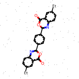 CCc1ccc2nc(-c3ccc(-c4nc5ccc(CC)cc5c(=O)o4)cc3)oc(=O)c2c1